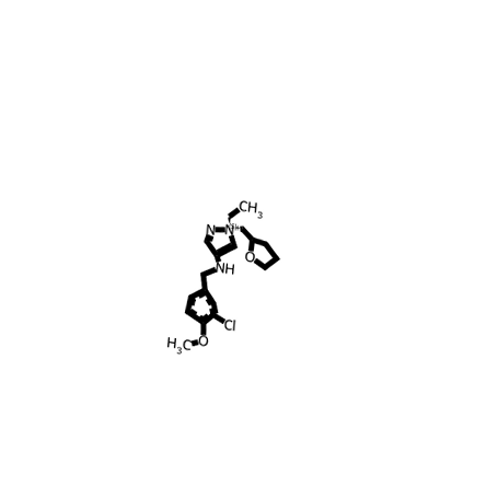 CC[N@+]1(CC2CCCO2)C=C(NCc2ccc(OC)c(Cl)c2)C=N1